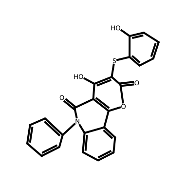 O=c1oc2c(c(O)c1Sc1ccccc1O)c(=O)n(-c1ccccc1)c1ccccc21